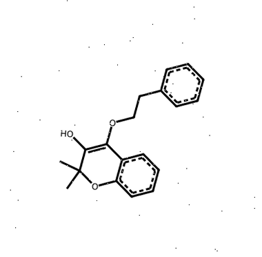 CC1(C)Oc2ccccc2C(OCCc2ccccc2)=C1O